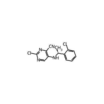 C[C@H](Nc1cnc(Cl)nc1C#N)c1ccccc1Cl